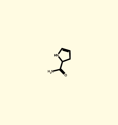 NC(=O)C1CC=CN1